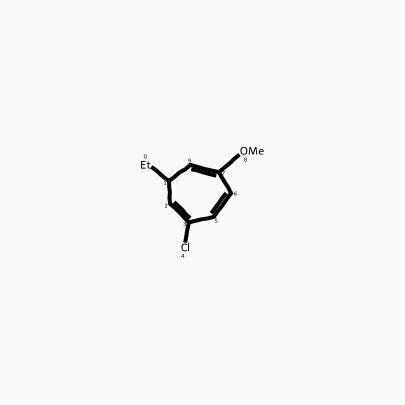 CCC1C=C(Cl)C=CC(OC)=C1